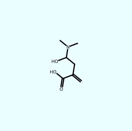 C=C(CC(O)N(C)C)C(=O)O